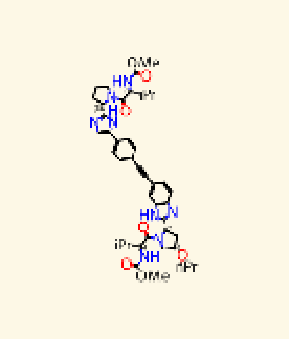 CCCO[C@H]1C[C@@H](c2nc3ccc(C#Cc4ccc(-c5cnc([C@@H]6CCCN6C(=O)[C@@H](NC(=O)OC)C(C)C)[nH]5)cc4)cc3[nH]2)N(C(=O)[C@@H](NC(=O)OC)C(C)C)C1